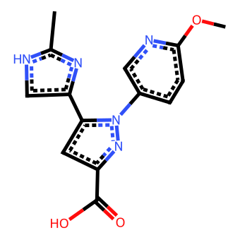 COc1ccc(-n2nc(C(=O)O)cc2-c2c[nH]c(C)n2)cn1